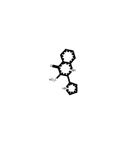 O=C(O)c1c(-c2ccc[nH]2)[nH]c2ccccc2c1=O